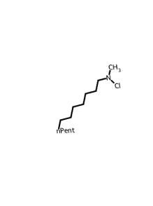 CCCCCCCCCCCCN(C)Cl